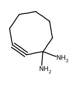 NC1(N)C#CCCCCC1